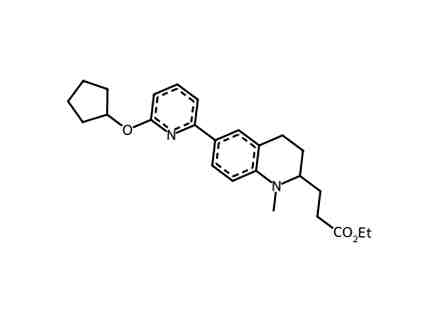 CCOC(=O)CCC1CCc2cc(-c3cccc(OC4CCCC4)n3)ccc2N1C